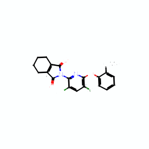 COc1ccccc1Oc1nc(N2C(=O)C3=C(CCCC3)C2=O)c(F)cc1Cl